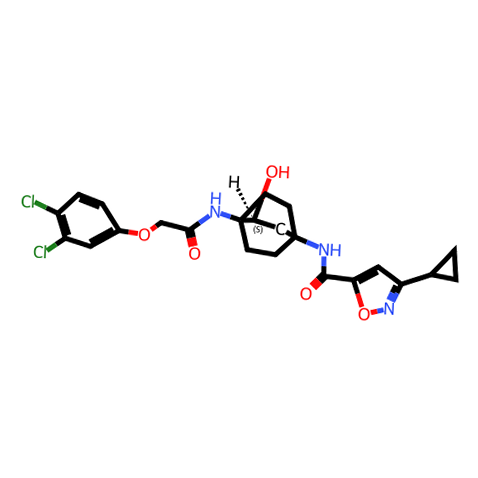 O=C(COc1ccc(Cl)c(Cl)c1)NC12CCC(NC(=O)c3cc(C4CC4)no3)(CC1)C[C@@H]2O